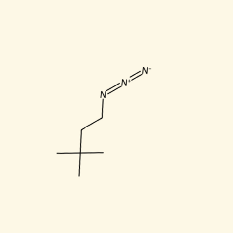 CC(C)(C)CCN=[N+]=[N-]